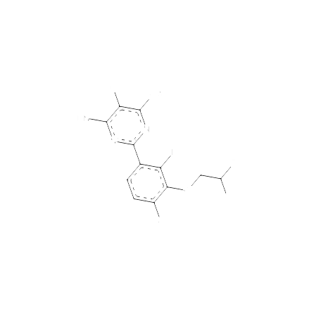 CC(=O)Oc1nc(-c2ccc(Cl)c(OCC(F)F)c2F)nc(N)c1Cl